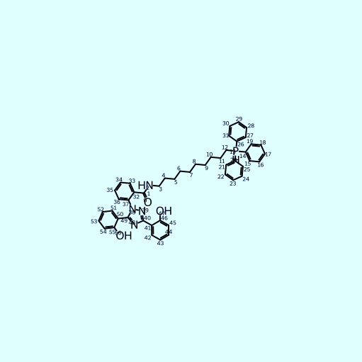 O=C(NCCCCCCCCCC[PH](c1ccccc1)(c1ccccc1)c1ccccc1)c1ccccc1-n1nc(-c2ccccc2O)nc1-c1ccccc1O